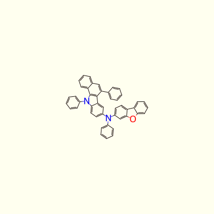 c1ccc(-c2cc3ccccc3c3c2c2cc(N(c4ccccc4)c4ccc5c(c4)oc4ccccc45)ccc2n3-c2ccccc2)cc1